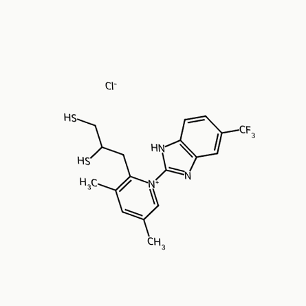 Cc1cc(C)c(CC(S)CS)[n+](-c2nc3cc(C(F)(F)F)ccc3[nH]2)c1.[Cl-]